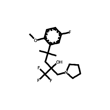 COc1ccc(F)cc1C(C)(C)CC(O)(CN1CCCC1)C(F)(F)F